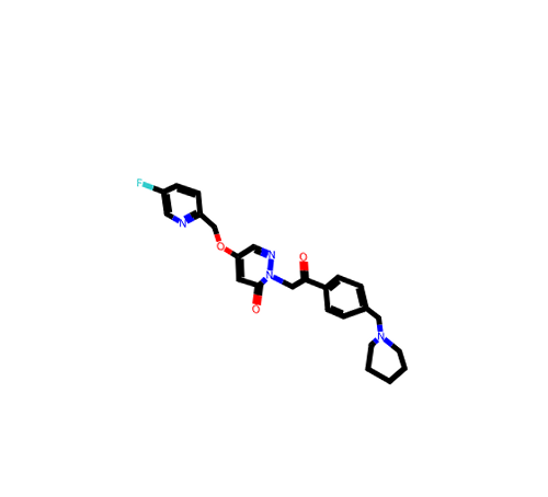 O=C(Cn1ncc(OCc2ccc(F)cn2)cc1=O)c1ccc(CN2CCCCC2)cc1